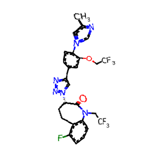 Cc1cn(-c2ccc(-c3cn([C@H]4CCc5c(F)cccc5N(CC(F)(F)F)C4=O)nn3)cc2OCC(F)(F)F)cn1